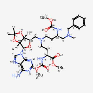 CN(Cc1ccccc1)C[C@@H](CCN(CC[C@H](NC(=O)OC(C)(C)C)C(=O)OC(C)(C)C)C[C@H]1O[C@@H](n2cnc3c(N)ncnc32)[C@@H]2OC(C)(C)O[C@@H]21)NC(=O)OC(C)(C)C